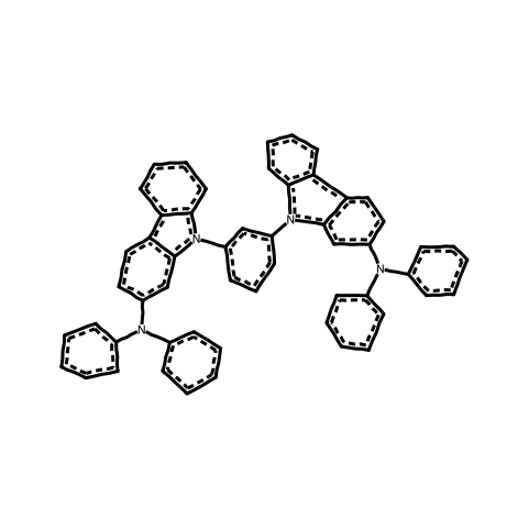 c1ccc(N(c2ccccc2)c2ccc3c4ccccc4n(-c4cccc(-n5c6ccccc6c6ccc(N(c7ccccc7)c7ccccc7)cc65)c4)c3c2)cc1